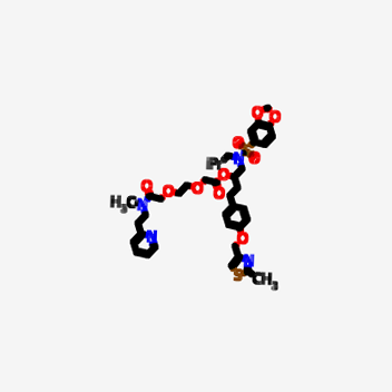 Cc1nc(COc2ccc(CCC(CN(CC(C)C)S(=O)(=O)c3ccc4c(c3)OCO4)OC(=O)COCCOCC(=O)N(C)CCc3ccccn3)cc2)cs1